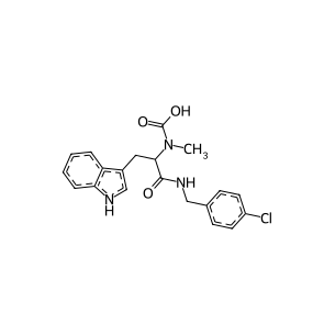 CN(C(=O)O)C(Cc1c[nH]c2ccccc12)C(=O)NCc1ccc(Cl)cc1